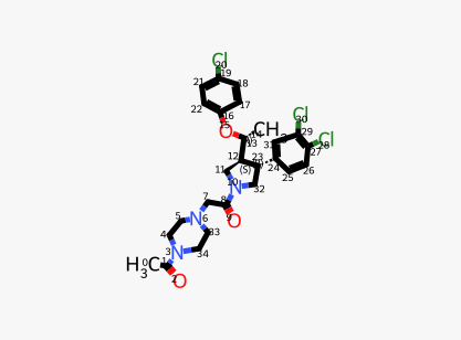 CC(=O)N1CCN(CC(=O)N2C[C@@H]([C@@H](C)Oc3ccc(Cl)cc3)[C@H](c3ccc(Cl)c(Cl)c3)C2)CC1